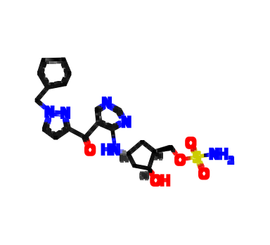 NS(=O)(=O)OC[C@@H]1C[C@@H](Nc2ncncc2C(=O)c2ccn(Cc3ccccc3)n2)C[C@@H]1O